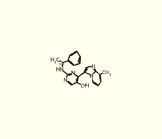 Cc1cccn2c(-c3nc(N[C@@H](C)c4ccccc4)ncc3O)cnc12